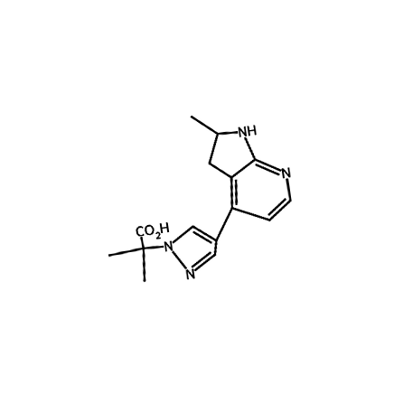 CC1Cc2c(-c3cnn(C(C)(C)C(=O)O)c3)ccnc2N1